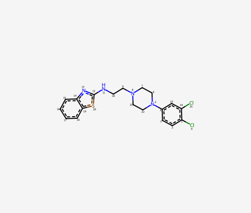 Clc1ccc(N2CCN(CCNc3nc4ccccc4s3)CC2)cc1Cl